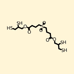 O=C(CCCS(=O)(=O)CCCC(=O)OCC(S)CS)OCC(S)CS